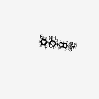 N[C@H]1C[C@@H](N2CC3CN(S(=O)(=O)CF)CC3C2)CO[C@@H]1c1cc(F)ccc1F